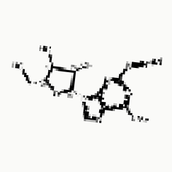 CNc1nc(N=[N+]=[N-])nc2c1ncn2[C@@H]1O[C@H](CO)[C@@H](O)[C@H]1O